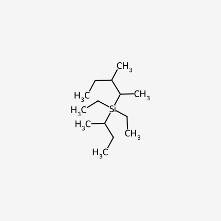 CCC(C)C(C)[Si](CC)(CC)C(C)CC